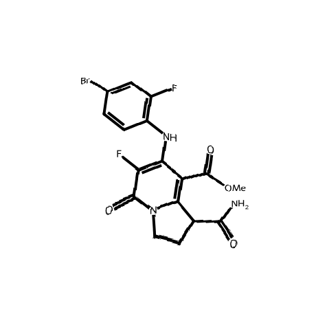 COC(=O)c1c(Nc2ccc(Br)cc2F)c(F)c(=O)n2c1C(C(N)=O)CC2